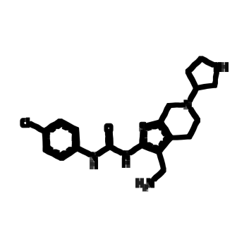 NCc1c(NC(=O)Nc2ccc(Cl)cc2)sc2c1CCN(C1CCNC1)C2